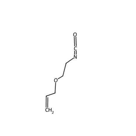 C=CCOCCN=C=O